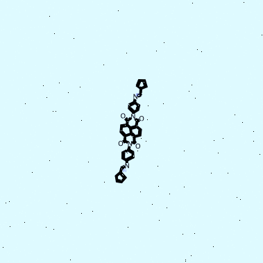 O=C1c2ccc3c4c(ccc(c24)C(=O)N1c1ccc(/N=C/C2=CC=CC2)cc1)C(=O)N(c1ccc(/N=C/C2C=CC=C2)cc1)C3=O